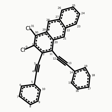 Clc1c(C#Cc2ccccc2)c(C#Cc2ccccc2)c2cc3ccccc3cc2c1Cl